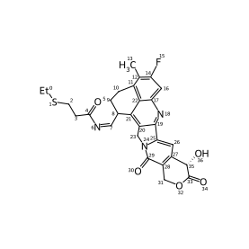 CCSCCC(=O)/N=C\C1CCc2c(C)c(F)cc3nc4c(c1c23)Cn1c-4cc2c(c1=O)COC(=O)[C@H]2O